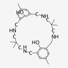 Cc1cc2c(O)c(c1)CNCC(C)(C)CNCc1cc(C)cc(c1O)CNCC(C)(C)CNC2